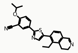 CCc1c(-c2cnc(-c3ccc(OC(C)C)c(C#N)c3)s2)ccc2c1CCN=C2